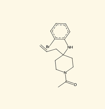 C=CCC1(Nc2ccccc2Br)CCN(C(C)=O)CC1